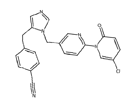 N#Cc1ccc(Cc2cncn2Cc2ccc(-n3cc(Cl)ccc3=O)nc2)cc1